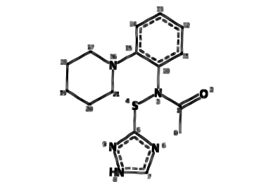 CC(=O)N(Sc1nc[nH]n1)c1ccccc1N1CCCCC1